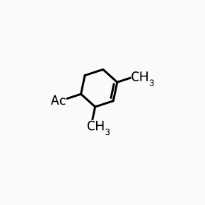 CC(=O)C1CCC(C)=CC1C